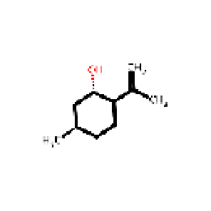 C=C(C)C1CC[C@@H](C)C[C@@H]1O